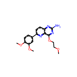 COCCOc1nc(N)nc2ccc(-c3ccc(OC)c(OC)c3)nc12